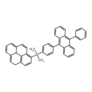 C[Si](C)(c1ccc(-c2c3ccccc3c(-c3ccccc3)c3ccccc23)cc1)c1ccc2c3c1C=CC1=CC=CC(=CC2)C13